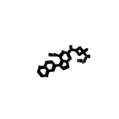 COc1nc(NC2CC(C)(NC(=O)O)C2)nn2ccc(-c3ccc4nccnc4c3)c12